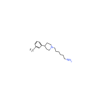 NCCCCCCN1CCC(c2cccc(C(F)(F)F)c2)CC1